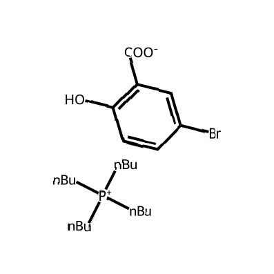 CCCC[P+](CCCC)(CCCC)CCCC.O=C([O-])c1cc(Br)ccc1O